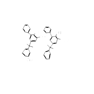 CC(C)(c1ccccc1)c1cc(C(=O)[O-])c(O)c(-c2ccccc2)c1.CC(C)(c1ccccc1)c1cc(C(=O)[O-])c(O)c(-c2ccccc2)c1.[Zn+2]